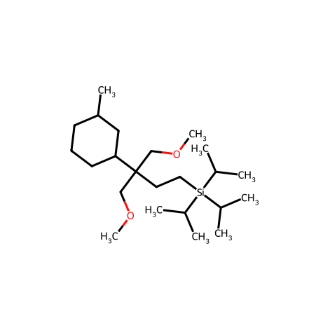 COCC(CC[Si](C(C)C)(C(C)C)C(C)C)(COC)C1CCCC(C)C1